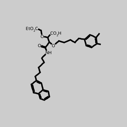 CCOC(=O)COC(C(=O)O)C(OCCCCCc1ccc(C)c(C)c1)C(=O)NCCCCCc1ccc2ccccc2c1